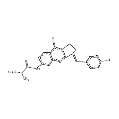 CC(C(=O)O)C(=O)Nc1ccc2c(=O)n3c(nc2c1)C(=Cc1ccc(Cl)cc1)CC3